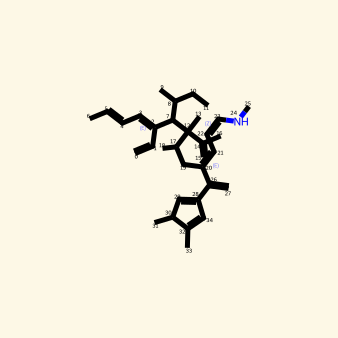 C=C/C(=C\C=CC)C(C(C)CC)C(C)(C(=C)C)C(C)C/C(=C\C=C/NC)C(=C)C1=CC(C)C(C)=C1